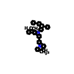 CC1(C)c2ccccc2-c2cc3c4cc(-c5ccc6c(c5)C5=CC=CC7C5N6c5ccccc5C7(C)C)ccc4n(-c4ccc5c(c4)-c4cc(-c6ccccc6)ccc4CC5c4ccccc4)c3cc21